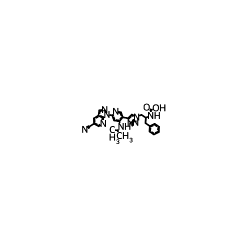 CC(C)Nc1cc(-n2ncc3cc(C#N)cnc32)ncc1-c1cn(CC(Cc2ccccc2)NC(=O)O)nn1